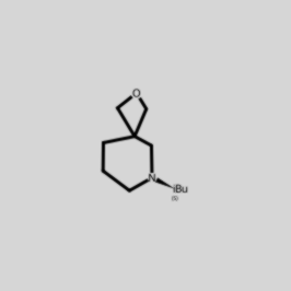 CC[C@H](C)N1CCCC2(COC2)C1